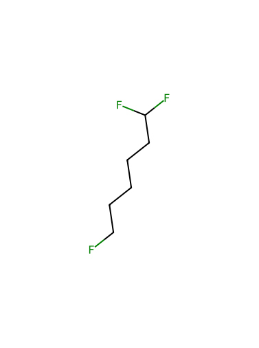 FCCCCCC(F)F